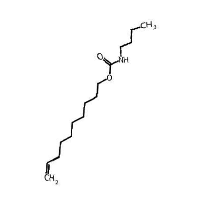 C=CCCCCCCCCOC(=O)NCCCC